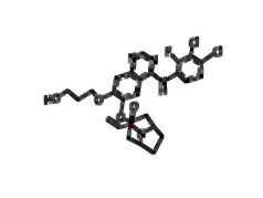 C=CC(=O)N1C2CCC1CC(Oc1cc3c(Nc4ccc(Cl)c(Cl)c4F)ncnc3cc1OCCCO)C2